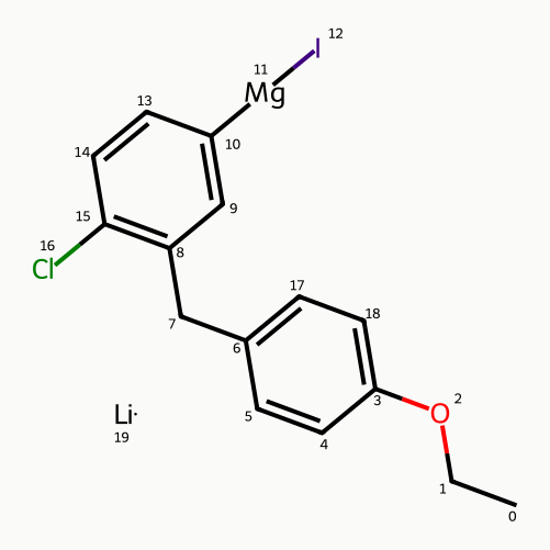 CCOc1ccc(Cc2c[c]([Mg][I])ccc2Cl)cc1.[Li]